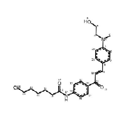 CN(CCO)c1ccc(/C=C/C(=O)c2ccc(NC(=O)CCCCCCl)cc2)cc1